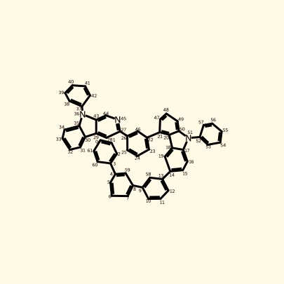 c1ccc(-c2cccc(-c3cccc(-c4ccc5c(c4)c4c(-c6cccc(-c7cc8c9ccccc9n(-c9ccccc9)c8cn7)c6)cccc4n5-c4ccccc4)c3)c2)cc1